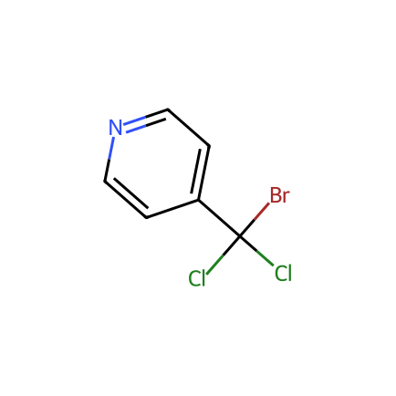 ClC(Cl)(Br)c1ccncc1